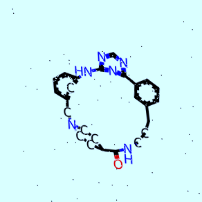 O=C1NCCCc2cccc(c2)-c2ncnc(n2)Nc2cccc(c2)CN2CCC1CC2